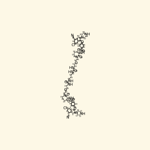 N#Cc1cc(Cl)cc2c1C[C@H](N1CCNCC1)[C@H]2Oc1ccc(S(=O)(=O)NC2CCCCN(CCOCCNC(=O)NCCCCNC(=O)NCCOCCN3CCCCC(NS(=O)(=O)c4ccc(O[C@H]5c6cc(Cl)cc(C#N)c6C[C@@H]5N5CCNCC5)cc4)C3=O)C2=O)cc1